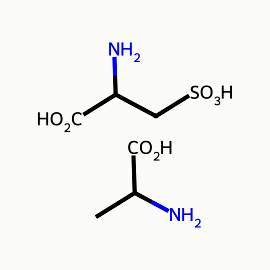 CC(N)C(=O)O.NC(CS(=O)(=O)O)C(=O)O